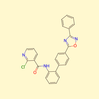 O=C(Nc1ccccc1-c1ccc(-c2nc(-c3ccccc3)no2)cc1)c1cccnc1Cl